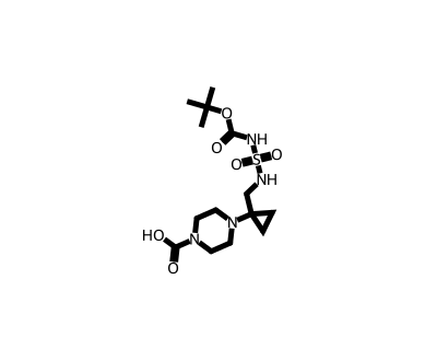 CC(C)(C)OC(=O)NS(=O)(=O)NCC1(N2CCN(C(=O)O)CC2)CC1